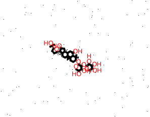 C[C@@H]1O[C@@H](O[C@H]2[C@H](OC3CCC45CC46CC[C@]4(C)[C@@H]([C@@]7(C)CC[C@@H](C(C)(C)O)O7)[C@H](O)C[C@@]4(C)C6C[C@@H](O)C5C3(C)C)OC[C@@H](O)[C@@H]2O)[C@H](O)[C@H](O)[C@H]1O